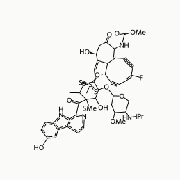 COC(=O)NC1=C2C#C/C(F)=C\C#C[C@H](OC3OC(C)C(SC)(C(=O)c4nccc5c4[nH]c4ccc(O)cc45)C(O)C3OC3CC(OC)C(NC(C)C)CO3)C2/C(=C\CS(C)(=S)=S)[C@@H](O)CC1=O